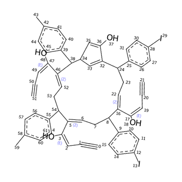 C#C/C=C(O)\C1=C/CC(c2ccc(I)cc2)C(/C(O)=C\C#C)=C/CC(c2ccc(I)cc2)C2=CC(C=C2O)C(c2ccc(C)cc2)C(/C(O)=C\C#C)=C/CC1c1ccc(C)cc1